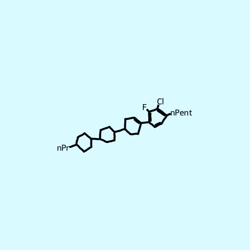 CCCCCc1ccc(C2=CCC(C3CCC(C4CCC(CCC)CC4)CC3)CC2)c(F)c1Cl